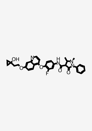 CC1C(C(=O)Nc2ccc(Oc3ccnc4cc(OCCC5(O)CC5)ccc34)c(F)c2)C(=O)N(c2ccccc2)N1C